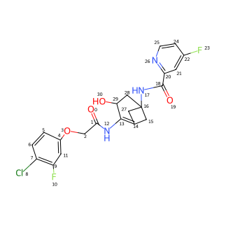 O=C(COc1ccc(Cl)c(F)c1)NC1=C2CC(NC(=O)c3cc(F)ccn3)(C2)CC1O